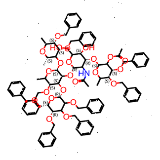 CC(=O)NC1[C@H](OC2[C@H](OC3[C@H](C)OC(C)[C@H](OCc4ccccc4)[C@@H]3OCc3ccccc3)OC(C)[C@H](OCc3ccccc3)[C@@H]2O[C@H]2O[C@@H](COCc3ccccc3)[C@@H](OCc3ccccc3)C(OCc3ccccc3)C2OCc2ccccc2)OC(CO)[C@@H](O)[C@@H]1O[C@@H]1OC(C)[C@H](OCc2ccccc2)[C@H](OCc2ccccc2)C1OC(C)=O